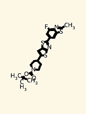 Cc1nc2c(F)cc(-c3nc4sc(C5CCN(C(=O)OC(C)(C)C)CC5)cc4s3)cc2s1